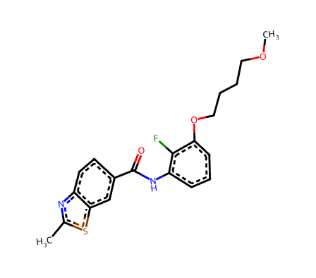 COCCCCOc1cccc(NC(=O)c2ccc3nc(C)sc3c2)c1F